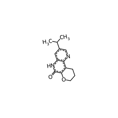 CC(C)c1cnc2c3c(c(=O)[nH]c2c1)OCCC3